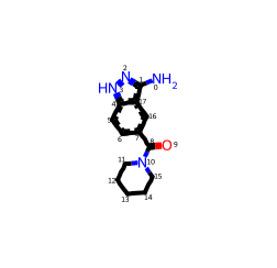 Nc1n[nH]c2ccc(C(=O)N3CCCCC3)cc12